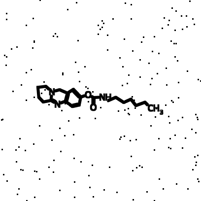 CCCCCCCNC(=O)Oc1ccc2c(c1)CN1CCCCC1=N2